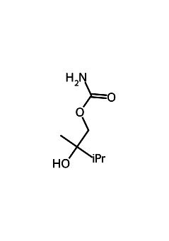 CC(C)C(C)(O)COC(N)=O